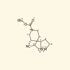 CC(C)(C)OC(=O)N1CCC(C2CCCC2)(C(C#N)C(=O)O)CC1